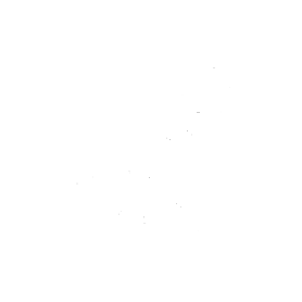 CN(Cc1cnn(-c2ccccc2)c1)c1ncc(C(=O)O)cn1